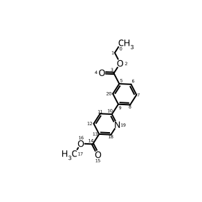 CCOC(=O)c1cccc(-c2ccc(C(=O)OC)cn2)c1